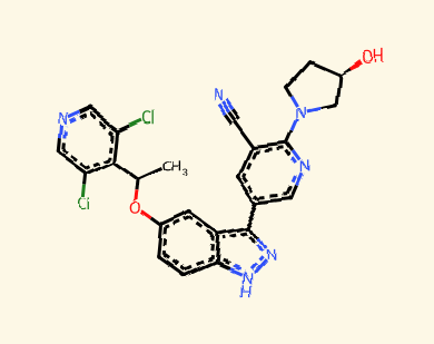 CC(Oc1ccc2[nH]nc(-c3cnc(N4CC[C@@H](O)C4)c(C#N)c3)c2c1)c1c(Cl)cncc1Cl